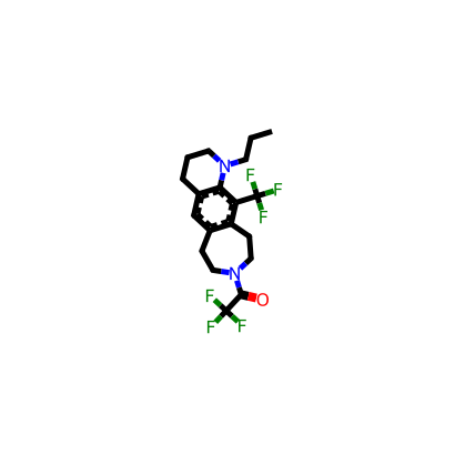 CCCN1CCCc2cc3c(c(C(F)(F)F)c21)CCN(C(=O)C(F)(F)F)CC3